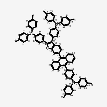 Cc1ccc(N(c2ccc(C)cc2)c2ccc(-c3oc4cc(-c5c6ccccc6c(-c6ccc(N(c7ccc(C)cc7)c7ccc(C)cc7)cc6)c6ccccc56)ccc4c3-c3ccc(N(c4ccc(C)cc4)c4ccc(C)cc4)cc3)cc2)cc1